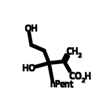 C=C(C(=O)O)C(O)(CCO)CCCCC